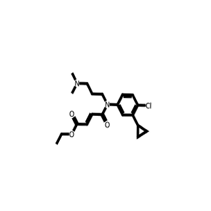 CCOC(=O)/C=C/C(=O)N(CCCN(C)C)c1ccc(Cl)c(C2CC2)c1